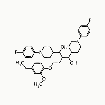 CCc1ccc(OCCC(C(O)C2CCN(c3ccc(F)cc3)CC2)C(O)C2CCN(c3ccc(F)cc3)CC2)c(OC)c1